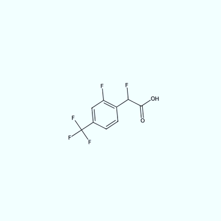 O=C(O)C(F)c1ccc(C(F)(F)F)cc1F